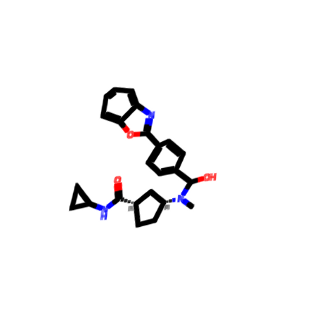 CN(C(O)c1ccc(-c2nc3ccccc3o2)cc1)[C@@H]1CC[C@H](C(=O)NC2CC2)C1